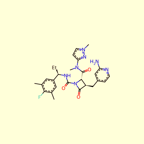 CC[C@@H](NC(=O)N1C(=O)[C@H](Cc2ccnc(N)c2)[C@H]1C(=O)N(C)c1ccn(C)n1)c1cc(C)c(F)c(C)c1